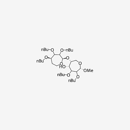 CCCCOC1C(OCCCC)[C@H](OCCCC)CCO[C@@H]1O[C@@H]1CO[C@H](OC)C(OCCCC)C(OCCCC)[C@@H]1O